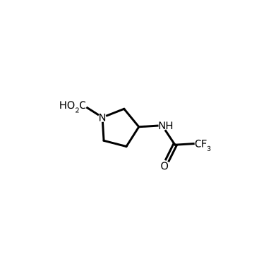 O=C(O)N1CCC(NC(=O)C(F)(F)F)C1